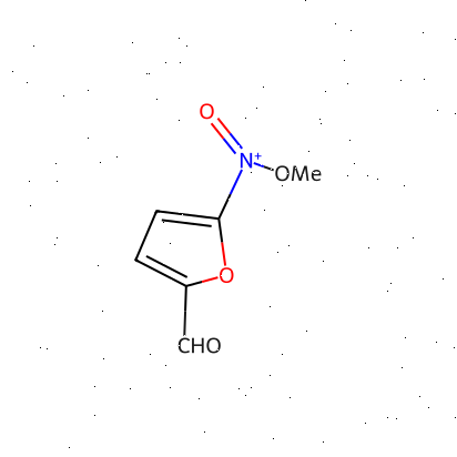 CO[N+](=O)c1ccc(C=O)o1